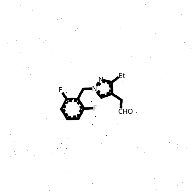 [CH2]Cc1nn(Cc2c(F)cccc2F)cc1CC=O